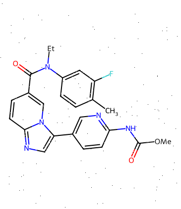 CCN(C(=O)c1ccc2ncc(-c3ccc(NC(=O)OC)nc3)n2c1)c1ccc(C)c(F)c1